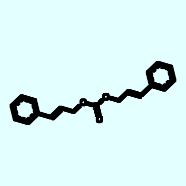 O=[Si](OC/C=C/c1ccccc1)OC/C=C/c1ccccc1